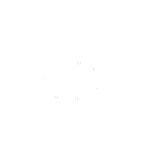 COc1nc(Cl)nc(C)c1CN(C)[C@H]1CCCc2ccccc21